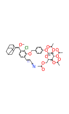 COC(=C1C2CC3CC(C2)CC1C3)c1ccc(/C=C/C#N)c(OCc2ccc(O[C@@H]3OC(COC(C)=O)[C@H](OC(C)=O)C(OC(C)=O)[C@@H]3OC(C)=O)cc2)c1Cl